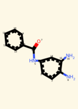 Nc1ccc(NC(=O)c2ccccc2)cc1N